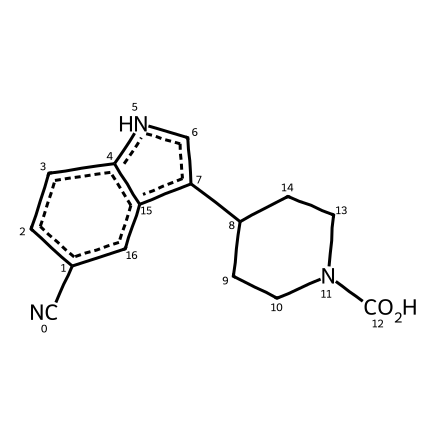 N#Cc1ccc2[nH]cc(C3CCN(C(=O)O)CC3)c2c1